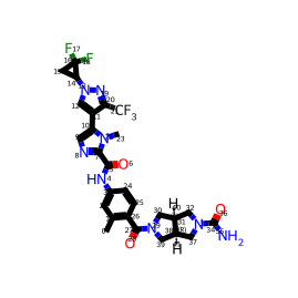 Cc1cc(NC(=O)c2ncc(-c3cn(C4CC4(F)F)nc3C(F)(F)F)n2C)ccc1C(=O)N1C[C@H]2CN(C(N)=O)C[C@H]2C1